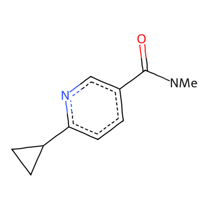 CNC(=O)c1ccc(C2CC2)nc1